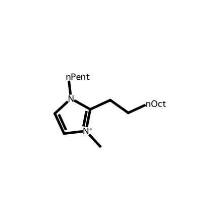 CCCCCCCCCCc1n(CCCCC)cc[n+]1C